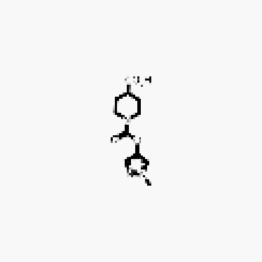 Cn1cc(OC(=O)N2CCC(C(=O)O)CC2)cn1